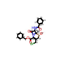 O=C(OCc1ccccc1)C1=C(CBr)C[S+]([O-])[C@H]2C(NC(=O)c3ccccc3)C(=O)N12